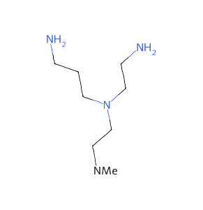 CNCCN(CCN)CCCN